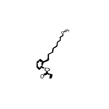 C=CC(=O)Oc1ccccc1CCCCCCCCCOC(C)C